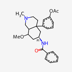 COC1C[C@H](NC(=O)c2ccccc2)CC2(c3cccc(OC(C)=O)c3)CCN(C)CC12